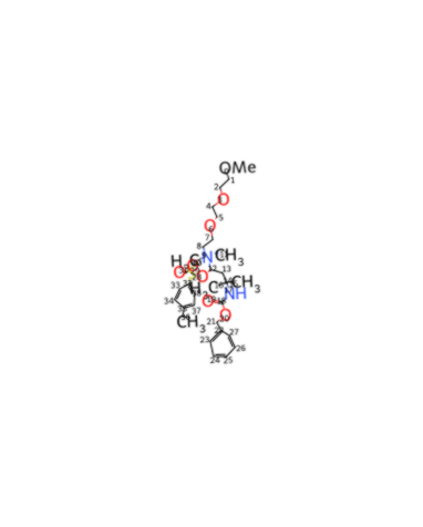 COCCOCCOCC[N+](C)(C)C(CC(C)(C)NC(=O)OCc1ccccc1)OS(=O)(=O)c1ccc(C)cc1